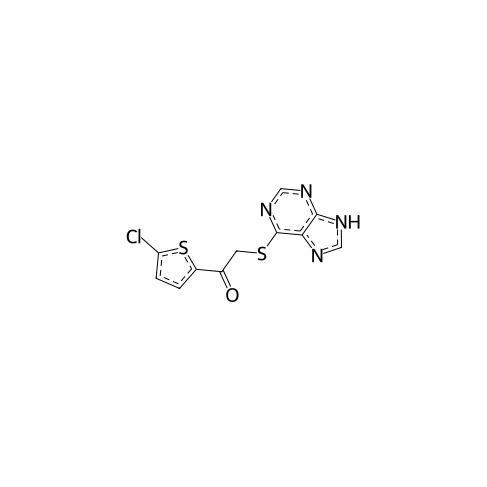 O=C(CSc1ncnc2[nH]cnc12)c1ccc(Cl)s1